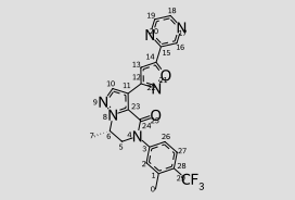 Cc1cc(N2C[C@H](C)n3ncc(-c4cc(-c5cnccn5)on4)c3C2=O)ccc1C(F)(F)F